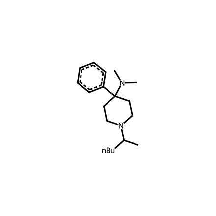 CCCCC(C)N1CCC(c2ccccc2)(N(C)C)CC1